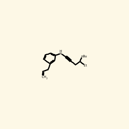 C=CCc1cccc(NC#CCC(CC)CCCC)c1